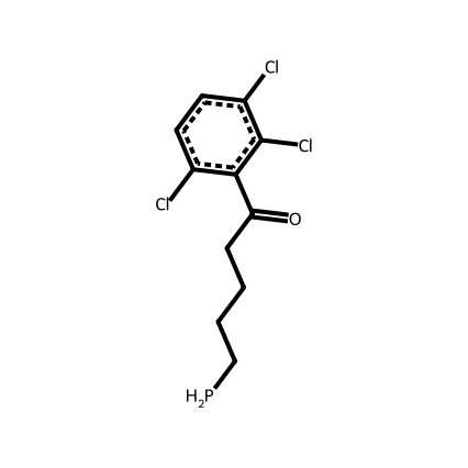 O=C(CCCCP)c1c(Cl)ccc(Cl)c1Cl